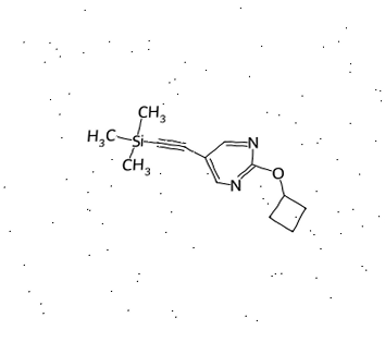 C[Si](C)(C)C#Cc1cnc(OC2CCC2)nc1